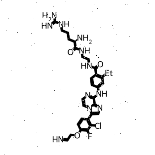 CCc1cc(Nc2nccn3c(-c4ccc(OCC=N)c(F)c4Cl)cnc23)ccc1C(=O)NCCNC(=O)[C@H](N)CCCNC(=N)N